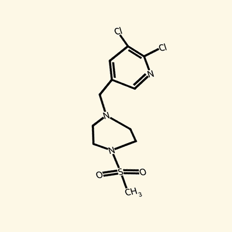 CS(=O)(=O)N1CCN(Cc2cnc(Cl)c(Cl)c2)CC1